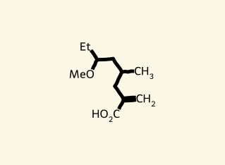 C=C(CC(C)CC(CC)OC)C(=O)O